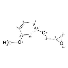 COc1cccc(OC[C@@H]2CO2)c1